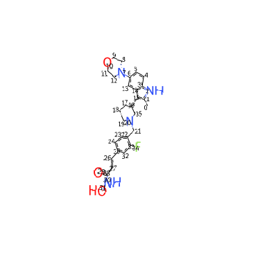 Cc1[nH]c2ccc(N3CCOCC3)cc2c1C1CCCN(Cc2ccc(/C=C/C(=O)NO)cc2F)C1